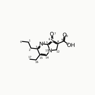 CCCC1=NC2=S(=O)=C(C(=O)O)CN2C=C1CC